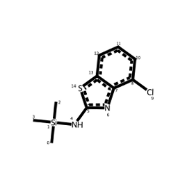 C[Si](C)(C)Nc1nc2c(Cl)cccc2s1